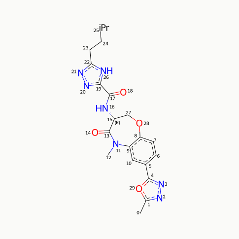 Cc1nnc(-c2ccc3c(c2)N(C)C(=O)[C@H](NC(=O)c2nnc(CCC(C)C)[nH]2)CO3)o1